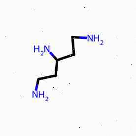 NCCC(N)CCN